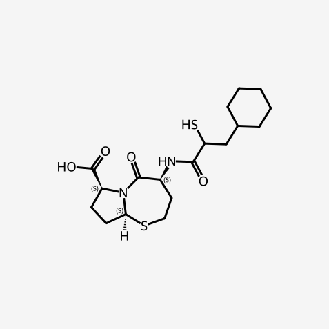 O=C(N[C@H]1CCS[C@H]2CC[C@@H](C(=O)O)N2C1=O)C(S)CC1CCCCC1